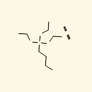 CCCC[Si](OCC)(OCC)OCC.N=C=O